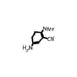 CNC1=C(C#N)C=C(N)CC1